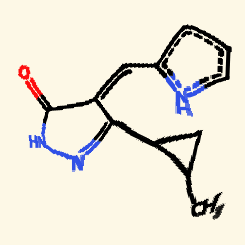 CC1CC1C1=NNC(=O)/C1=C/c1ccc[nH]1